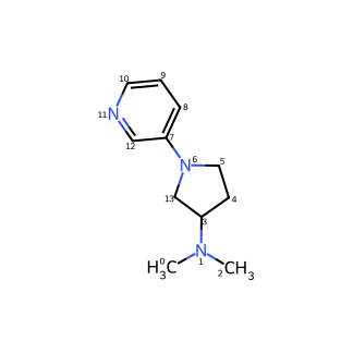 CN(C)C1CCN(c2cccnc2)C1